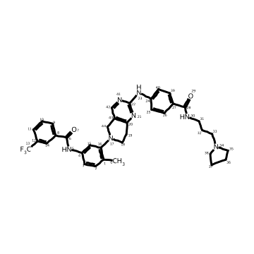 Cc1ccc(NC(=O)c2cccc(C(F)(F)F)c2)cc1N1CCc2nc(Nc3ccc(C(=O)NCCCN4CCCC4)cc3)ncc2C1